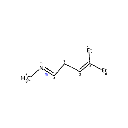 CCC(=CC/C=N/C)CC